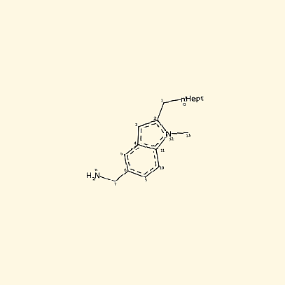 CCCCCCCCc1cc2cc(CN)ccc2n1C